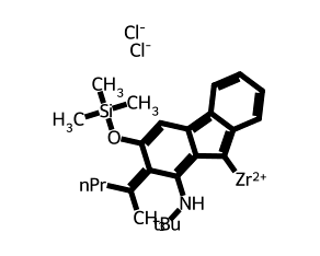 CCCC(C)=c1c(O[Si](C)(C)C)cc2c(c1NC(C)(C)C)[C]([Zr+2])=c1ccccc1=2.[Cl-].[Cl-]